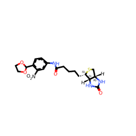 O=C(CCCC[C@@H]1SC[C@@H]2NC(=O)N[C@@H]21)Nc1ccc(C2OCCO2)c([N+](=O)[O-])c1